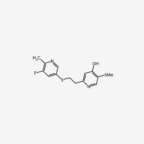 CSc1cnc(CCSc2cnc(C)c(F)c2)cc1O